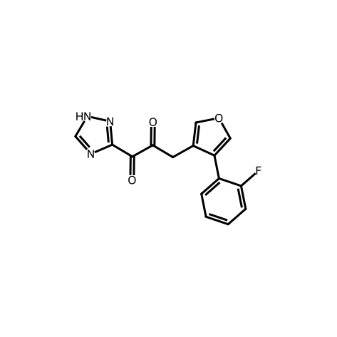 O=C(Cc1cocc1-c1ccccc1F)C(=O)c1nc[nH]n1